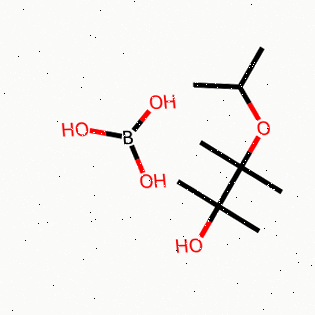 CC(C)OC(C)(C)C(C)(C)O.OB(O)O